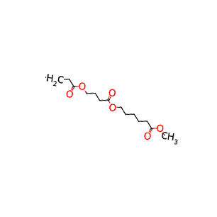 [CH2]CC(=O)OCCCC(=O)OCCCCCC(=O)OC